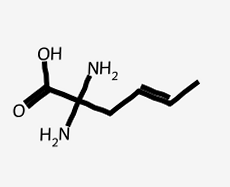 CC=CCC(N)(N)C(=O)O